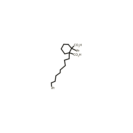 CC(C)CCCCCCCCC1(C(=O)O)CCCCC1(C(=O)O)C(C)C